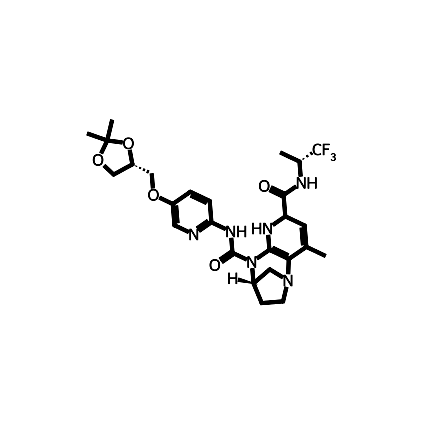 CC1=CC(C(=O)N[C@H](C)C(F)(F)F)NC2=C1N1CC[C@@H](C1)N2C(=O)Nc1ccc(OC[C@@H]2COC(C)(C)O2)cn1